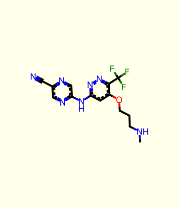 CNCCCOc1cc(Nc2cnc(C#N)cn2)nnc1C(F)(F)F